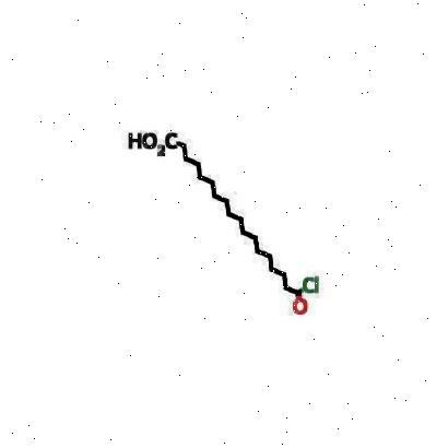 O=C(O)CCCCCCCCCCCCCCCCC(=O)Cl